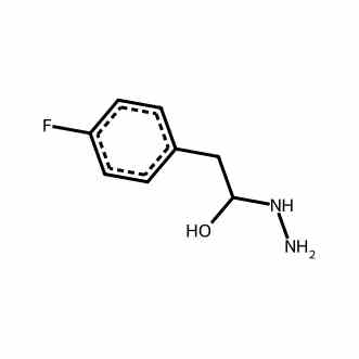 NNC(O)Cc1ccc(F)cc1